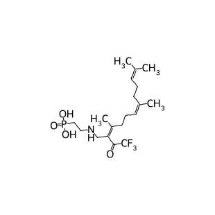 CC(C)=CCCC(C)=CCCC(C)=C(CNCCP(=O)(O)O)C(=O)C(F)(F)F